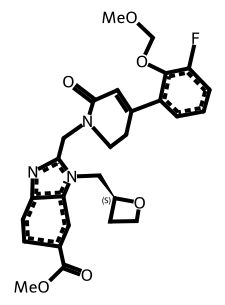 COCOc1c(F)cccc1C1=CC(=O)N(Cc2nc3ccc(C(=O)OC)cc3n2C[C@@H]2CCO2)CC1